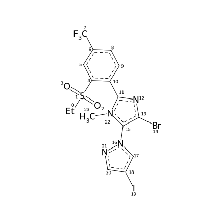 CCS(=O)(=O)c1cc(C(F)(F)F)ccc1-c1nc(Br)c(-n2cc(I)cn2)n1C